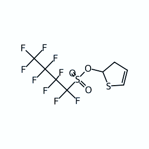 O=S(=O)(OC1CC=CS1)C(F)(F)C(F)(F)C(F)(F)C(F)(F)F